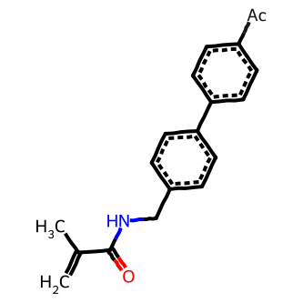 C=C(C)C(=O)NCc1ccc(-c2ccc(C(C)=O)cc2)cc1